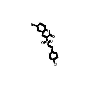 O=c1oc2ccc(Br)cc2cc1S(=O)(=O)C=Cc1ccc(Cl)cc1